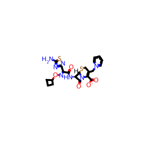 Nc1nc(C(=NOC2CCC2)C(=O)N[C@@H]2C(=O)N3C(C(=O)[O-])=C(C[n+]4ccccc4)CS[C@@H]23)ns1